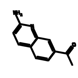 CC(=O)c1ccc2ccc(N)nc2c1